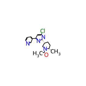 CC(=O)N1C[C@H](c2nc(Cl)cc(-c3cccnc3)n2)CC[C@@H]1C